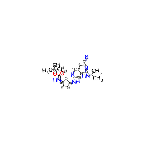 CC(C)Nc1nc(C#N)cc2cnc(N[C@@H]3CC[C@@H](NC(=O)OC(C)(C)C)C3)cc12